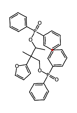 CC(OP(=O)(c1ccccc1)c1ccccc1)C(C)(COP(=O)(c1ccccc1)c1ccccc1)c1ccco1